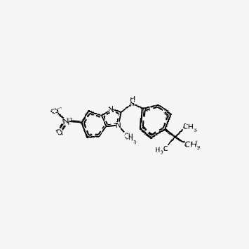 Cn1c(Nc2ccc(C(C)(C)C)cc2)nc2cc([N+](=O)[O-])ccc21